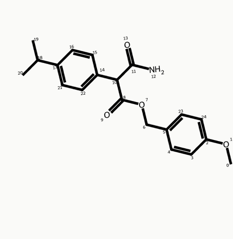 COc1ccc(COC(=O)C(C(N)=O)c2ccc(C(C)C)cc2)cc1